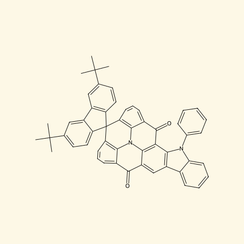 CC(C)(C)c1ccc2c(c1)-c1cc(C(C)(C)C)ccc1C21c2cccc3c(=O)c4cc5c6ccccc6n(-c6ccccc6)c5c5c(=O)c6cccc1c6n(c23)c45